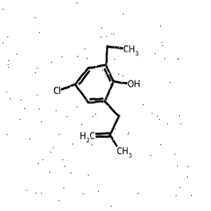 C=C(C)Cc1cc(Cl)cc(CC)c1O